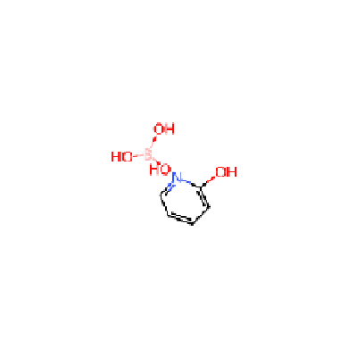 OB(O)O.Oc1ccccn1